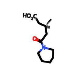 C[C@@H](CC(=O)O)CC(=O)N1CCCCC1